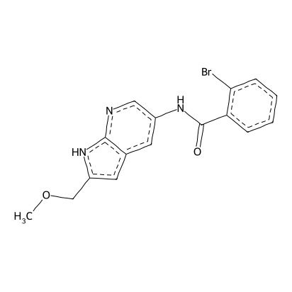 COCc1cc2cc(NC(=O)c3ccccc3Br)cnc2[nH]1